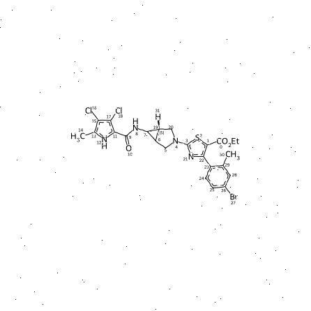 CCOC(=O)c1sc(N2CC3C(NC(=O)c4[nH]c(C)c(Cl)c4Cl)[C@@H]3C2)nc1-c1ccc(Br)cc1C